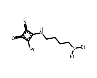 CCN(CC)CCCCNc1c(C(C)C)c(=O)c1=S